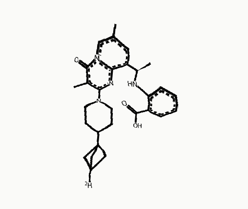 [2H]C12CC(C3CCN(c4nc5c([C@@H](C)Nc6ccccc6C(=O)O)cc(C)cn5c(=O)c4C)CC3)(C1)C2